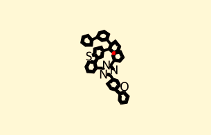 c1ccc(-c2cccc(-c3ccccc3-c3ccc4sc5cccc(-c6nc(-c7ccccc7)nc(-c7ccc8c(c7)oc7ccccc78)n6)c5c4c3)c2)cc1